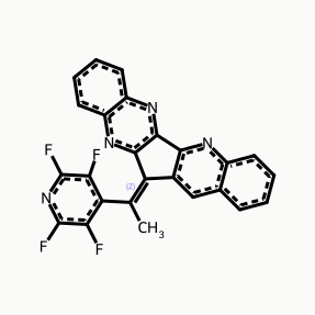 C/C(=C1\c2cc3ccccc3nc2-c2nc3ccccc3nc21)c1c(F)c(F)nc(F)c1F